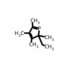 CCC1(C)P=C(C)C(C)=C1C